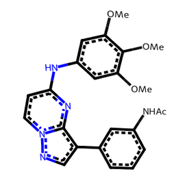 COc1cc(Nc2ccn3ncc(-c4cccc(NC(C)=O)c4)c3n2)cc(OC)c1OC